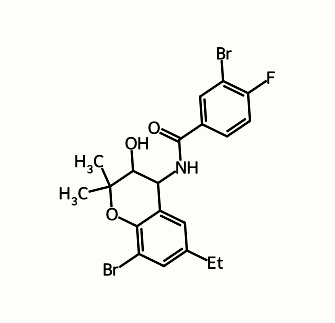 CCc1cc(Br)c2c(c1)C(NC(=O)c1ccc(F)c(Br)c1)C(O)C(C)(C)O2